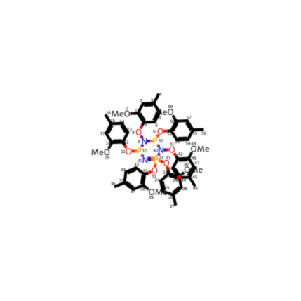 COc1cc(C)ccc1ON1P(Oc2ccc(C)cc2OC)N=P(Oc2ccc(C)cc2OC)(Oc2ccc(C)cc2OC)N(Oc2ccc(C)cc2OC)P1Oc1ccc(C)cc1OC